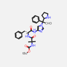 CC(C)(C)OC(=O)NC(C)(C)C(=O)N[C@H](Cc1ccccc1)C(=O)Nc1cn(C(C=O)(c2ccccc2)C2CCCN2)cn1